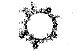 CCCC[C@H]1C(=O)N(C)[C@@H](CCCC)C(=O)N[C@@H](CCCNC(=N)N)C(O)N[C@H](C(=O)NCC(N)=O)CSCC(=O)N[C@@H](Cc2ccccc2)C(=O)N(C)[C@@H](C)C(=O)NC(CC(N)=O)C(=O)N2CCC[C@H]2C(=O)N[C@@H](Cc2cnc[nH]2)C(=O)N[C@@H](CC(C)C)C(=O)N(C)CC(=O)N[C@@H](Cc2c[nH]c3ccccc23)C(=O)N[C@@H](CO)C(=O)N[C@@H](Cc2c[nH]c3ncccc23)C(=O)N1C